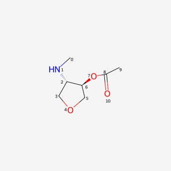 CN[C@H]1COC[C@@H]1OC(C)=O